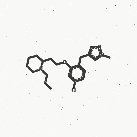 CCCN1CCCCC1CCOc1cc(Cl)ccc1Cc1cnn(C)c1